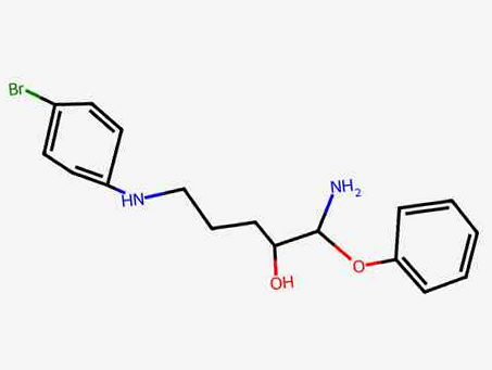 NC(Oc1ccccc1)C(O)CCCNc1ccc(Br)cc1